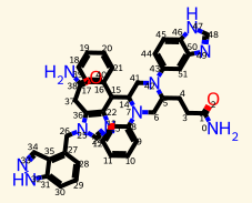 NC(=O)CCC1CN(c2ccccc2)C(C(c2ccccc2)c2ncn(Cc3cccc4[nH]ncc34)c2CC(N)=O)CN1c1ccc2[nH]cnc2c1